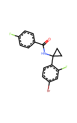 O=C(NC1(c2ccc(Br)cc2F)CC1)c1ccc(F)cc1